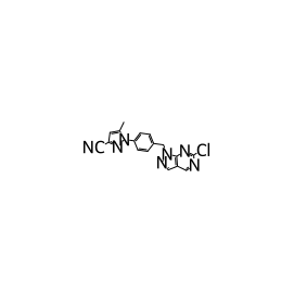 Cc1cc(C#N)nn1-c1ccc(Cn2ncc3cnc(Cl)nc32)cc1